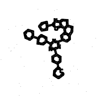 c1ccc(-c2ccc(-c3nc(-c4ccc(-c5ccccc5)cc4)nc(-c4ccc5ccc6ccc7nc(-c8ccccc8)oc7c6c5c4)n3)cc2)cc1